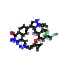 Cn1ncc(-c2ccc3c(=O)[nH]nc(CN)c3c2)c1/C=C(C#N)/C(=C\C(Cl)=C\F)OC1(C)CC1